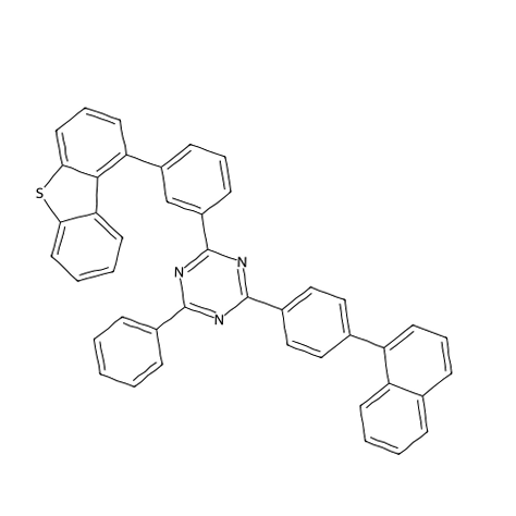 c1ccc(-c2nc(-c3ccc(-c4cccc5ccccc45)cc3)nc(-c3cccc(-c4cccc5sc6ccccc6c45)c3)n2)cc1